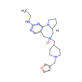 CCNc1ncc2c(n1)N1CCC[C@H]1C[N+]([O-])(CC1CCN(Cc3ccoc3)CC1)C2